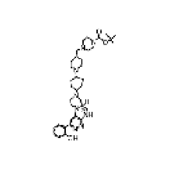 CC(C)(C)OC(=O)N1CCN(CC2CCN(C3CCC(N4CCN5c6cc(-c7ccccc7O)nnc6NC[C@H]5C4)CC3)CC2)CC1